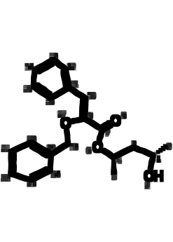 C[C@H](O)C[C@@H](C)OC(=O)C(=Cc1ccccc1)OCc1ccccc1